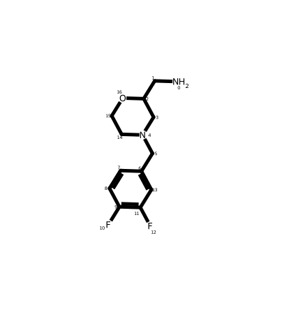 NCC1CN(Cc2ccc(F)c(F)c2)CCO1